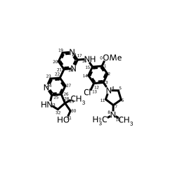 COc1cc(N2CCC(N(C)C)C2)c(Cl)cc1Nc1nccc(-c2cnc3c(c2)C(C)(CO)CN3)n1